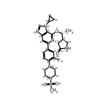 C[C@@H](Oc1nc(-c2ccc(N3CCN(S(C)(=O)=O)CC3)c(F)c2)cc2ncn(C3CC3)c12)[C@H]1CNC(=O)C1